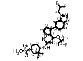 [2H]C([2H])([2H])Oc1nc(N[C@@H]2CCN(S(C)(=O)=O)CC2(F)F)nn2ccc(-c3ccc4nnn(CC(F)F)c4c3)c12